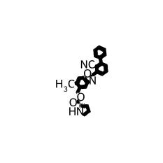 Cc1cc2oc(-c3cccc(-c4ccccc4)c3C#N)nc2cc1COC(=O)[C@@H]1CCCN1